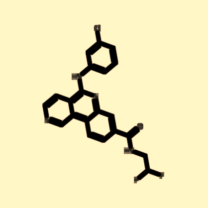 O=C(NCC(F)F)c1ccc2c(c1)nc(Nc1cccc(Cl)c1)c1ccncc12